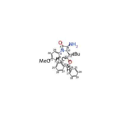 COc1ccc(N2C(=O)[C@@H](N)[C@H]2C([C@H](C)O[SiH](c2ccccc2)c2ccccc2)C(C)(C)C)cc1